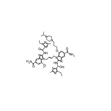 CCc1nc(C)sc1C(O)Nc1nc2cc(C(N)=O)cc(OCCCN3CCN(C(C)C)CC3)c2n1C/C=C/Cn1c(NC(=O)c2cc(C)nn2CC)nc2cc(C(N)=O)cc(OC)c21